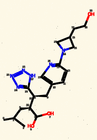 CC(C)C[C@H](C(O)O)[C@H](Cc1ccc(N2CC(CCO)C2)nc1)c1nnn[nH]1